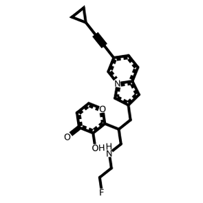 O=c1ccoc(C(CNCCF)Cc2cc3ccc(C#CC4CC4)cn3c2)c1O